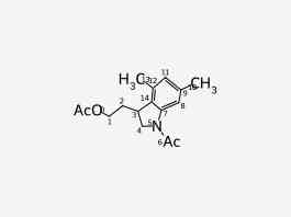 CC(=O)OCCC1CN(C(C)=O)c2cc(C)cc(C)c21